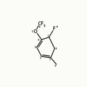 CC1=CC=C(OC(F)(F)F)C(F)C1